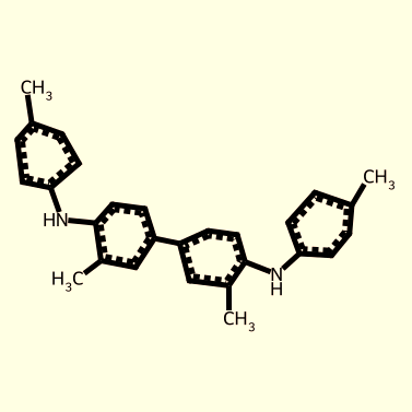 Cc1ccc(Nc2ccc(-c3ccc(Nc4ccc(C)cc4)c(C)c3)cc2C)cc1